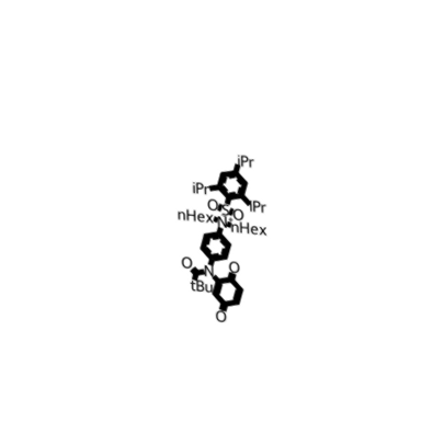 CCCCCC[N+](CCCCCC)(c1ccc(N(C(=O)C(C)(C)C)C2=CC(=O)C=CC2=O)cc1)S(=O)(=O)c1c(C(C)C)cc(C(C)C)cc1C(C)C